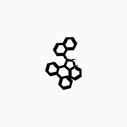 c1ccc(-c2ccccc2C2c3cccc[n+]3[CH-]N2c2cccc3ccccc23)cc1